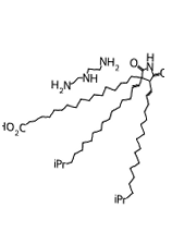 CC(C)CCCCCCCCCCCCCC=CC1C(=O)NC(=O)C1(C=CCCCCCCCCCCCCCC(C)C)CCCCCCCCCCCCCCCCCC(=O)O.NCCNCCN